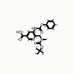 CN(Cc1ncc(C(=O)O)cc1NC(=O)Oc1ccccc1)C(=O)OC(C)(C)C